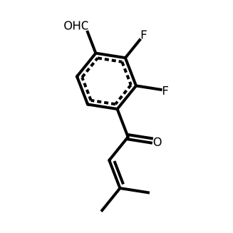 CC(C)=CC(=O)c1ccc(C=O)c(F)c1F